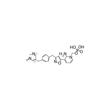 C=N/C=C(\C=N/C)Cc1ccc(Cc2cc(C3=CC=CN(COP(=O)(O)O)C3N)on2)cc1